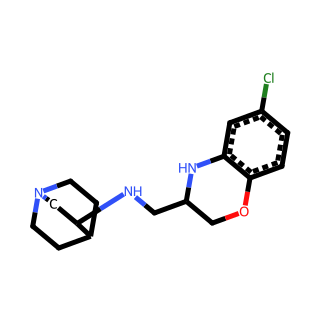 Clc1ccc2c(c1)NC(CNC1CN3CCC1CC3)CO2